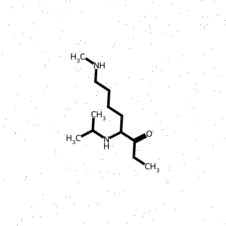 CCC(=O)C(CCCCNC)NC(C)C